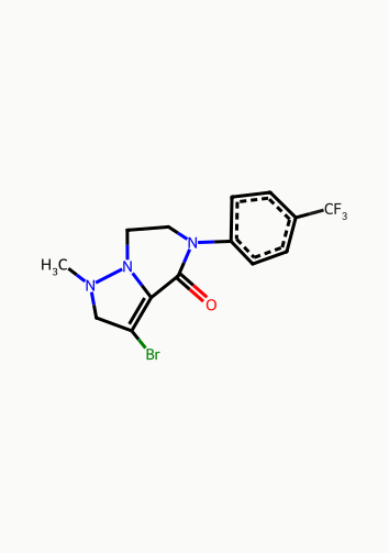 CN1CC(Br)=C2C(=O)N(c3ccc(C(F)(F)F)cc3)CCN21